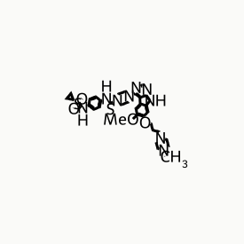 COc1cc2c(cc1OCCCN1CCN(C)CC1)[nH]c1ncnc(N3CCN(C(=S)Nc4ccc(NS(=O)(=O)C5CC5)cc4)CC3)c12